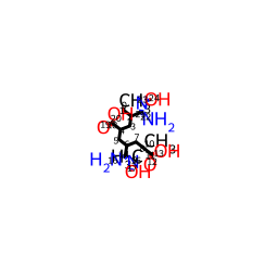 CCC(CC(CC(CC(C)(C)C(=O)O)/C(N)=N/O)C(=O)O)/C(N)=N/O